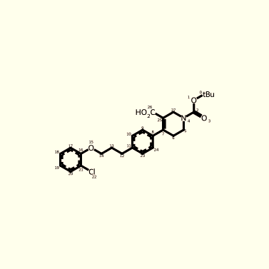 CC(C)(C)OC(=O)N1CCC(c2ccc(CCCOc3ccccc3Cl)cc2)=C(C(=O)O)C1